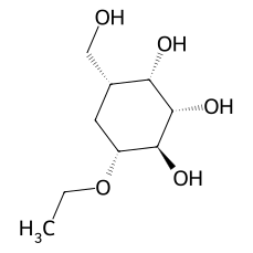 CCO[C@@H]1C[C@H](CO)[C@H](O)[C@H](O)[C@H]1O